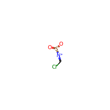 O=S(=O)=[N+]=CCl